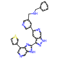 c1ccc(CNCc2cncc(-c3cc4c(-c5nc6c(-c7ccsc7)cncc6[nH]5)n[nH]c4cn3)c2)cc1